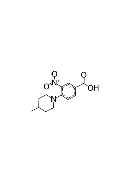 CC1CCN(c2ccc(C(=O)O)cc2[N+](=O)[O-])CC1